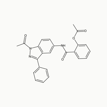 CC(=O)Oc1ccccc1C(=O)Nc1ccc2c(c1)c(-c1ccccc1)nn2C(C)=O